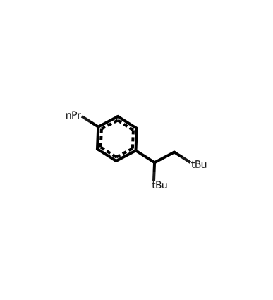 CCCc1ccc(C(CC(C)(C)C)C(C)(C)C)cc1